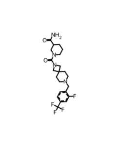 NC(=O)C1CCCN(C(=O)N2CC3(CCN(Cc4ccc(C(F)(F)F)cc4F)CC3)C2)C1